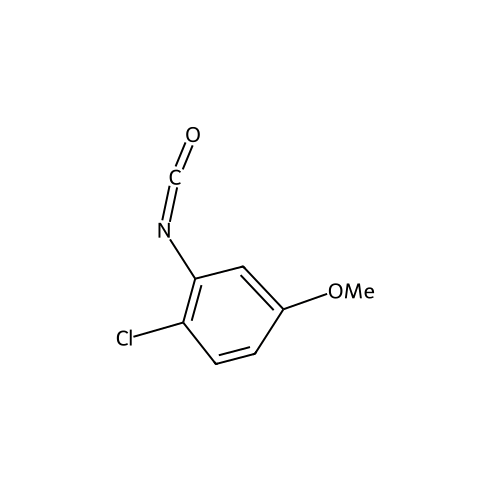 COc1ccc(Cl)c(N=C=O)c1